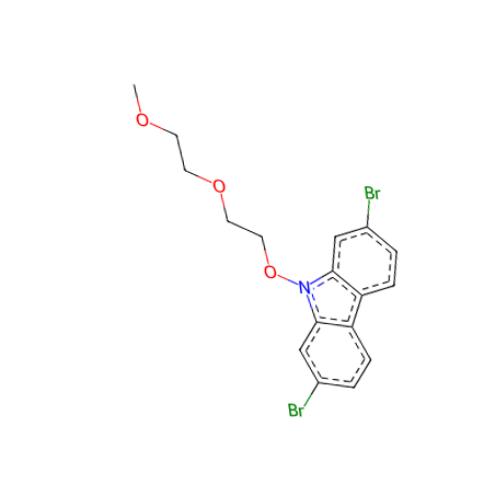 COCCOCCOn1c2cc(Br)ccc2c2ccc(Br)cc21